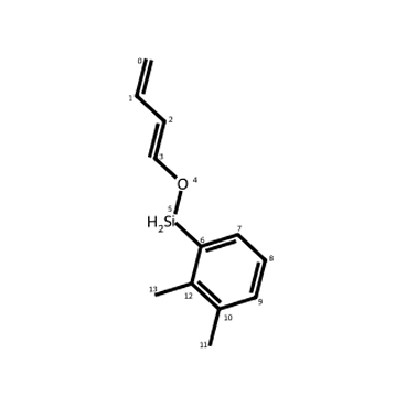 C=CC=CO[SiH2]c1cccc(C)c1C